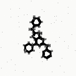 c1cncc(Nc2nc(N3CCOCC3)c3nc(Nc4cccnc4)[nH]c3n2)c1